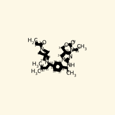 C=CC(=O)N1CC2(C1)CN(C(CC(C)C)c1ccc([C@H](C)Nc3ncc4c(n3)N(CC)C(=O)OC4)cc1)C2